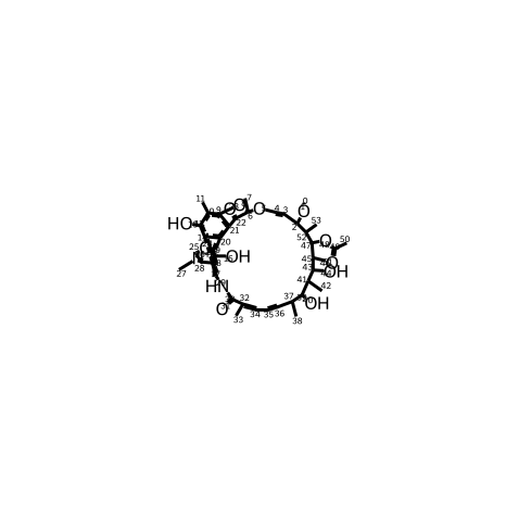 COC1/C=C\OC2(C)Oc3c(C)c(O)c4c(O)c(c5c(c4c3C2=O)OC[N+](C)=C5)NC(=O)/C(C)=C\C=C\C(C)C(O)C(C)C(O)C(C)C(OC(C)=O)C1C